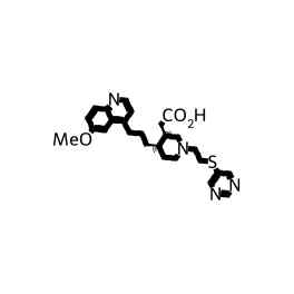 COc1ccc2nccc(CCC[C@@H]3CCN(CCSc4cncnc4)C[C@@H]3CC(=O)O)c2c1